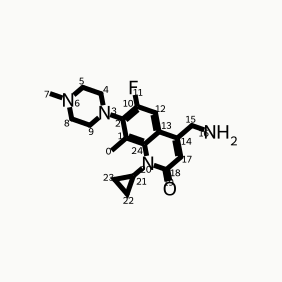 Cc1c(N2CCN(C)CC2)c(F)cc2c(CN)cc(=O)n(C3CC3)c12